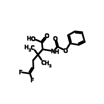 CC(C)(CC=C(F)F)C(NC(=O)Oc1ccccc1)C(=O)O